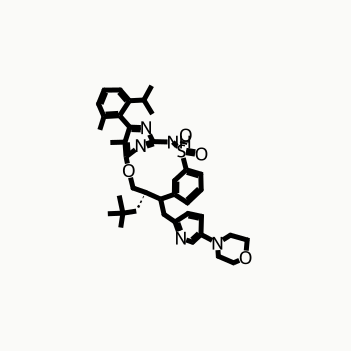 Cc1cccc(C(C)C)c1-c1nc2nc(c1C)OC[C@@H](CC(C)(C)C)C(Cc1ccc(N3CCOCC3)cn1)c1cccc(c1)S(=O)(=O)N2